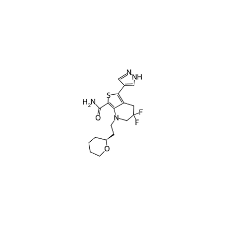 NC(=O)c1sc(-c2cn[nH]c2)c2c1N(CC[C@@H]1CCCCO1)CC(F)(F)C2